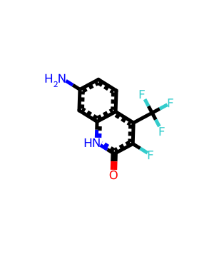 Nc1ccc2c(C(F)(F)F)c(F)c(=O)[nH]c2c1